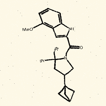 COc1cccc2[nH]c(C(=O)N3CC(C45CC(C4)C5)CC3(C(C)C)C(C)C)cc12